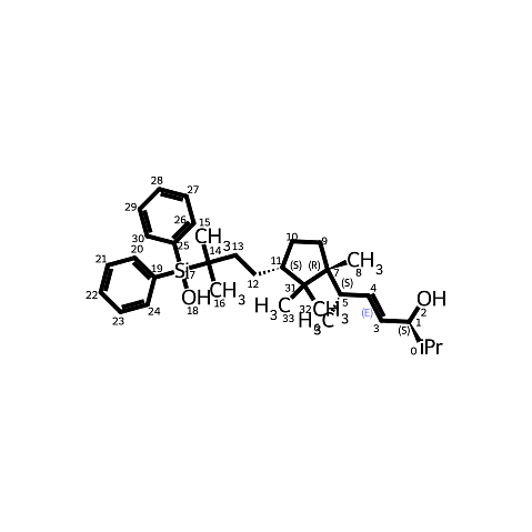 CC(C)[C@H](O)/C=C/[C@H](C)[C@@]1(C)CC[C@@H](CCC(C)(C)[Si](O)(c2ccccc2)c2ccccc2)C1(C)C